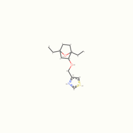 CCC12CCC(CC)(O1)C(OCc1cscn1)C2